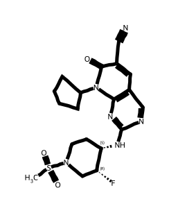 CS(=O)(=O)N1CC[C@H](Nc2ncc3cc(C#N)c(=O)n(C4CCCC4)c3n2)[C@H](F)C1